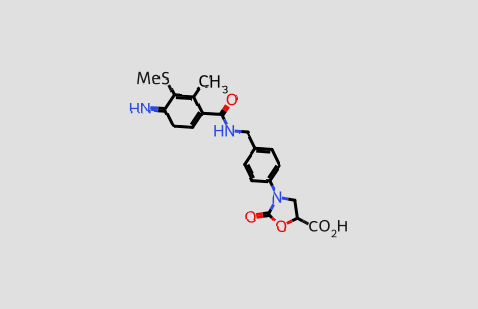 CSC1=C(C)C(C(=O)NCc2ccc(N3CC(C(=O)O)OC3=O)cc2)=CCC1=N